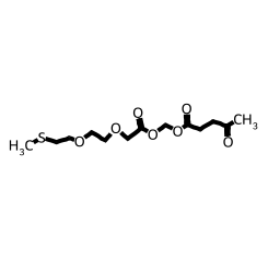 CSCCOCCOCC(=O)OCOC(=O)CCC(C)=O